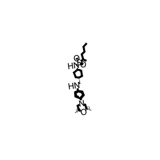 CCCCC(C)S(=O)(=O)N[C@H]1CC[C@H](CNc2ccc(N3C[C@@H](C)O[C@@H](C)C3)cc2)CC1